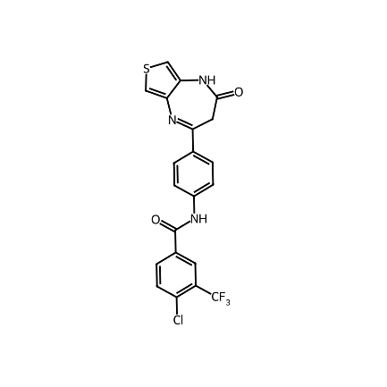 O=C1CC(c2ccc(NC(=O)c3ccc(Cl)c(C(F)(F)F)c3)cc2)=Nc2cscc2N1